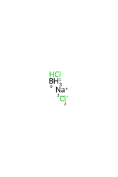 B.Cl.[Cl-].[Na+]